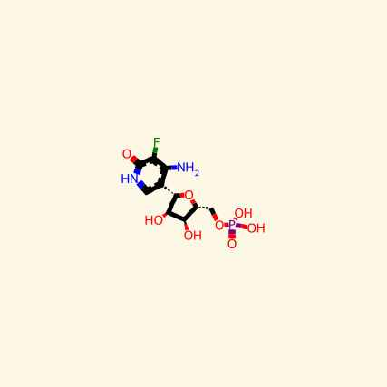 Nc1c([C@@H]2O[C@H](COP(=O)(O)O)[C@@H](O)[C@H]2O)c[nH]c(=O)c1F